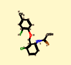 COC(=S)Nc1cccc(Cl)c1COc1ccc(C)cc1F